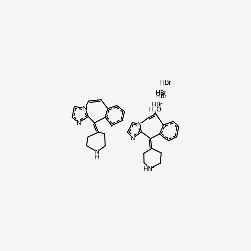 Br.Br.Br.Br.C1=Cn2ccnc2C(=C2CCNCC2)c2ccccc21.C1=Cn2ccnc2C(=C2CCNCC2)c2ccccc21.O